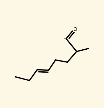 CC/C=C/CCC(C)[C]=O